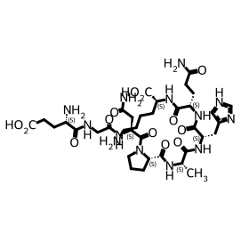 C[C@H](NC(=O)[C@@H]1CCCN1C(=O)[C@H](CC(N)=O)NC(=O)CNC(=O)[C@@H](N)CCC(=O)O)C(=O)N[C@@H](Cc1c[nH]cn1)C(=O)N[C@@H](CCC(N)=O)C(=O)N[C@@H](CCCCN)C(=O)O